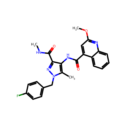 CNC(=O)c1nn(Cc2ccc(F)cc2)c(C)c1NC(=O)c1cc(OC)nc2ccccc12